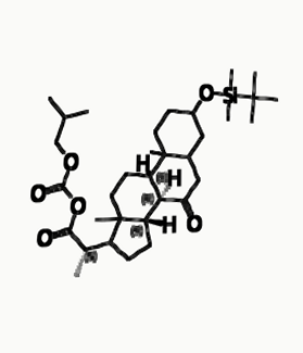 CC(C)COC(=O)OC(=O)[C@@H](C)C1CC[C@H]2[C@@H]3C(=O)CC4CC(O[Si](C)(C)C(C)(C)C)CCC4(C)[C@H]3CCC12C